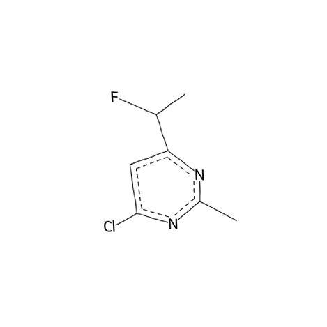 Cc1nc(Cl)cc(C(C)F)n1